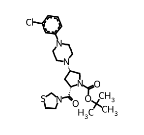 CC(C)(C)OC(=O)N1C[C@@H](N2CCN(c3cccc(Cl)c3)CC2)C[C@H]1C(=O)N1CCSC1